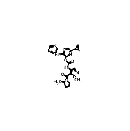 CC1CCCN1C(=O)c1c(NC(=O)Oc2nc(C3CC3)cnc2Nc2cncnc2)cnn1C